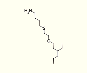 CCCC(CC)CCOCCSCCCCN